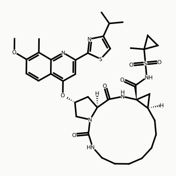 COc1ccc2c(O[C@@H]3C[C@H]4C(=O)N[C@]5(C(=O)NS(=O)(=O)C6(C)CC6)C[C@H]5CCCCCCCNC(=O)N4C3)cc(-c3nc(C(C)C)cs3)nc2c1C